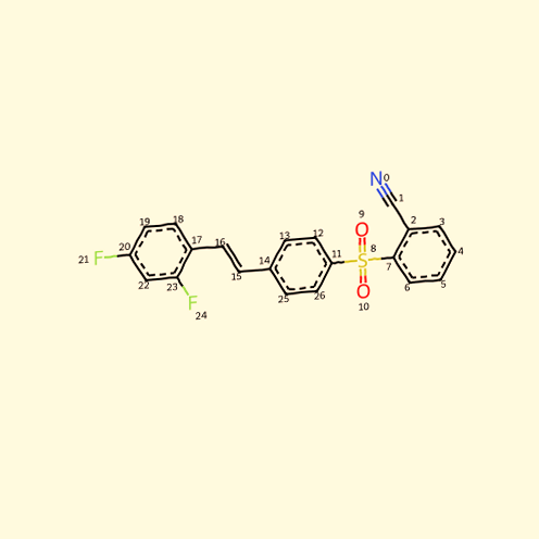 N#Cc1ccccc1S(=O)(=O)c1ccc(C=Cc2ccc(F)cc2F)cc1